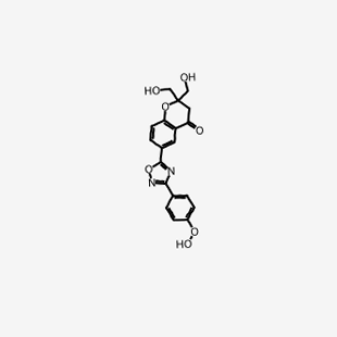 O=C1CC(CO)(CO)Oc2ccc(-c3nc(-c4ccc(OO)cc4)no3)cc21